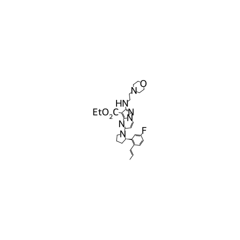 C/C=C/c1ccc(F)cc1[C@H]1CCCN1c1ccn2nc(NCCN3CCOCC3)c(C(=O)OCC)c2n1